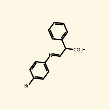 O=C(O)C(C=Nc1ccc(Br)cc1)c1ccccc1